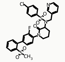 CS(=O)(=O)c1ccccc1-c1ccc(N2CCCC(N(Cc3cccnc3)S(=O)(=O)c3ccc(Cl)cc3)C2=O)c(F)c1